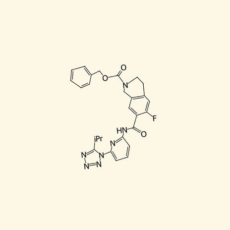 CC(C)c1nnnn1-c1cccc(NC(=O)c2cc3c(cc2F)CCN(C(=O)OCc2ccccc2)C3)n1